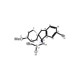 CO[C@H]1CC[C@]2(CC1)Cc1ccc(Br)cc1/C2=N/[S+]([O-])C(C)(C)C